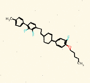 CCCCCOc1ccc(C2CCC(CCc3ccc(-c4ccc(C)cc4)c(F)c3F)CC2)cc1F